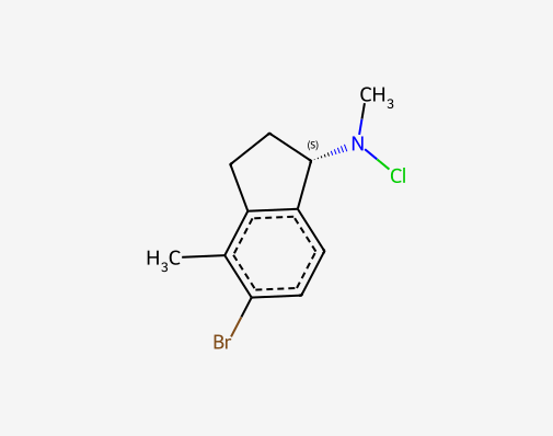 Cc1c(Br)ccc2c1CC[C@@H]2N(C)Cl